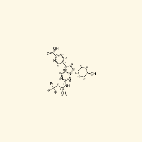 C[C@@H](CC(F)(F)F)Nc1ncc2c(-c3cnc(C(=O)O)nc3)cc([C@H]3CC[C@H](O)CC3)n2n1